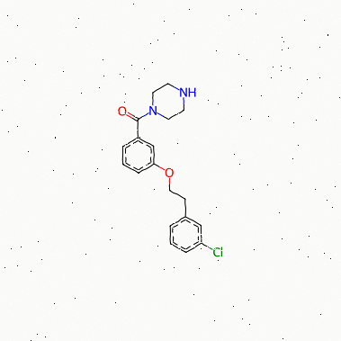 O=C(c1cccc(OCCc2cccc(Cl)c2)c1)N1CCNCC1